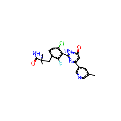 Cc1cncc(-c2cc(=O)[nH]c(-c3c(Cl)ccc(CC(C)(C)C(N)=O)c3F)n2)c1